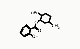 CCCC1CCC(C)CC1OC(=O)c1ccccc1O